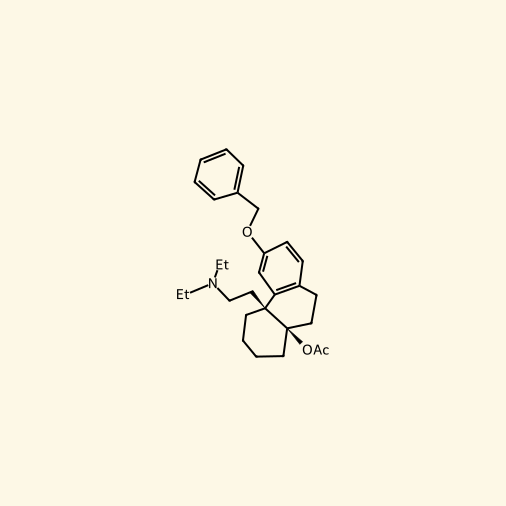 CCN(CC)CC[C@]12CCCC[C@@]1(OC(C)=O)CCc1ccc(OCc3ccccc3)cc12